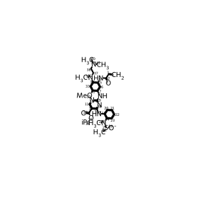 C=CC(=O)Nc1cc(Nc2ncc(C(=O)OC(C)C)c(Nc3ccccc3N(C)[S+](C)[O-])n2)c(OC)cc1N(C)CCN(C)C